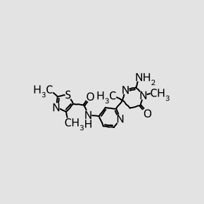 Cc1nc(C)c(C(=O)Nc2ccnc(C3(C)CC(=O)N(C)C(N)=N3)c2)s1